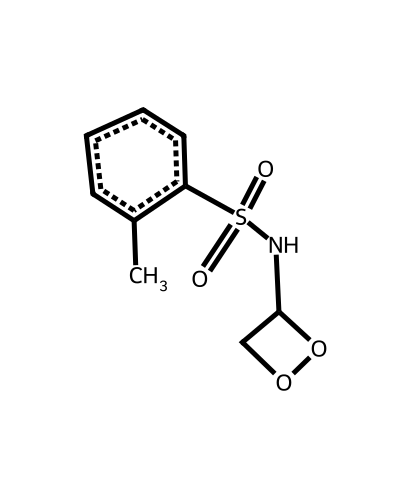 Cc1ccccc1S(=O)(=O)NC1COO1